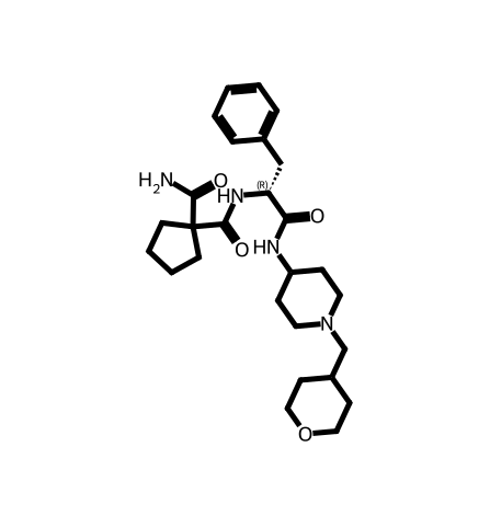 NC(=O)C1(C(=O)N[C@H](Cc2ccccc2)C(=O)NC2CCN(CC3CCOCC3)CC2)CCCC1